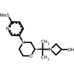 CSc1ccc(N2CCO[C@H](C(C)(C)N3CC(O)C3)C2)cn1